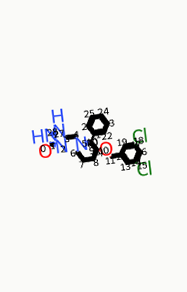 O=c1nc(CN2CCC[C@H](OCc3cc(Cl)cc(Cl)c3)[C@@H]2c2ccccc2)[nH][nH]1